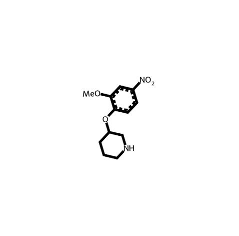 COc1cc([N+](=O)[O-])ccc1OC1CCCNC1